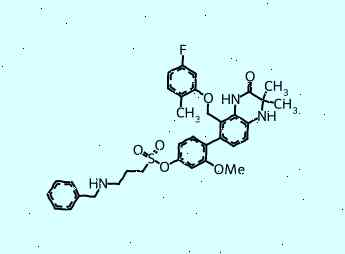 COc1cc(OS(=O)(=O)CCCNCc2ccccc2)ccc1-c1ccc2c(c1COc1cc(F)ccc1C)NC(=O)C(C)(C)N2